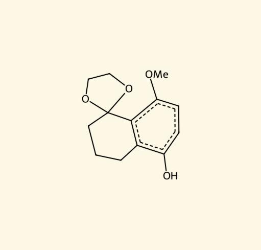 COc1ccc(O)c2c1C1(CCC2)OCCO1